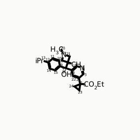 CCOC(=O)C1(c2cncc([C@@](O)(c3ccc(C(C)C)cc3)C3(C)CN(C)C3)c2)CC1